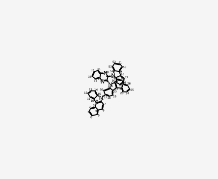 c1ccc2c(c1)ccc1c2c2ccccc2n1-c1ccc2c3c4ccccc4ccc3n(-c3nc4ccccc4nc3-n3c4ccccc4c4ccccc43)c2c1